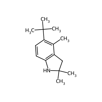 Cc1c(C(C)(C)C)ccc2c1CC(C)(C)N2